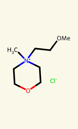 COCC[N+]1(C)CCOCC1.[Cl-]